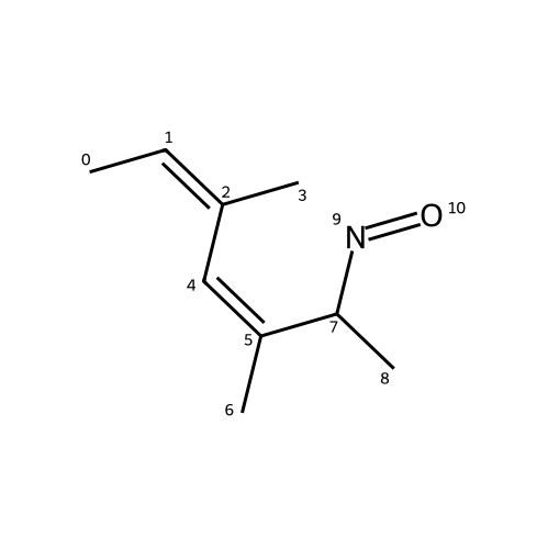 C/C=C(C)\C=C(\C)C(C)N=O